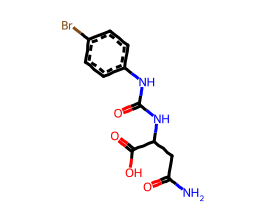 NC(=O)CC(NC(=O)Nc1ccc(Br)cc1)C(=O)O